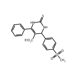 CCOC(=O)C1=C(c2ccccc2)NC(=S)NC1c1ccc(S(C)(=O)=O)cc1